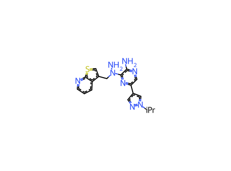 CC(C)n1cc(-c2cnc(N)c(N(N)Cc3csc4ncccc34)n2)cn1